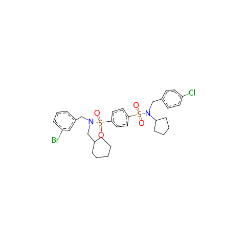 O=S(=O)(c1ccc(S(=O)(=O)N(Cc2ccc(Cl)cc2)C2CCCC2)cc1)N(Cc1cccc(Br)c1)CC1CCCCC1